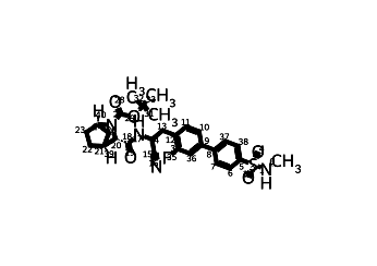 CNS(=O)(=O)c1ccc(-c2ccc(CC(C#N)NC(=O)[C@@H]3[C@H]4CC[C@H](C4)N3C(=O)OC(C)(C)C)c(F)c2)cc1